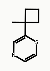 CC1(C2=C[N]C=CS2)CCC1